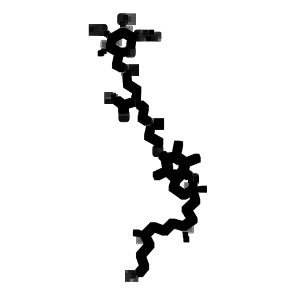 CCC(=O)N(CCNCCOc1c(C)c(C)c2c(c1C)CC[C@@](C)(CCC[C@H](C)CCC[C@H](C)CCCC(C)C)O2)CCNCC1OC(OC)[C@@H](O)[C@@H](O)[C@H]1C